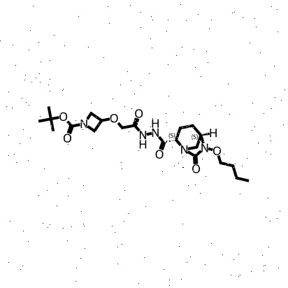 CCCCON1C(=O)N2C[C@@H]1CC[C@H]2C(=O)NNC(=O)COC1CN(C(=O)OC(C)(C)C)C1